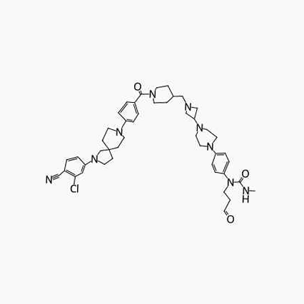 CNC(=O)N(CCC=O)c1ccc(N2CCN(C3CN(CC4CCN(C(=O)c5ccc(N6CCC7(CC6)CCN(c6ccc(C#N)c(Cl)c6)C7)cc5)CC4)C3)CC2)cc1